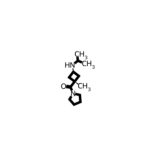 CC(C)N[C@H]1C[C@](C)(C(=O)N2CCCC2)C1